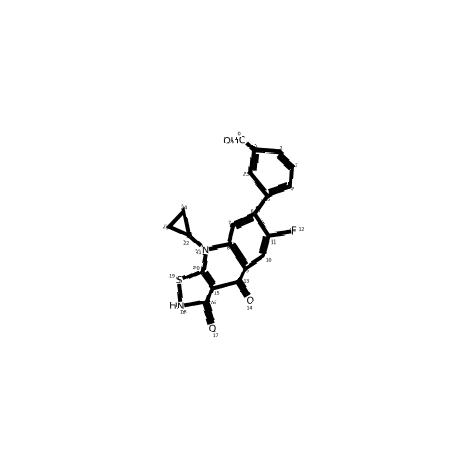 O=Cc1cccc(-c2cc3c(cc2F)c(=O)c2c(=O)[nH]sc2n3C2CC2)c1